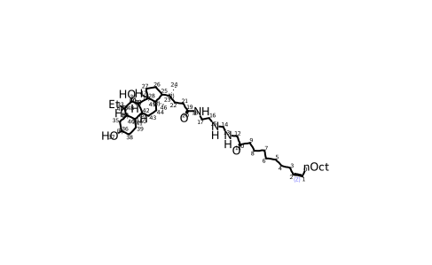 CCCCCCCC/C=C\CCCCCCCC(=O)CNCNCCNC(=O)CC[C@@H](C)C1CC[C@H]2[C@@H]3[C@H](O)[C@H](CC)[C@@H]4C[C@H](O)CC[C@]4(C)[C@H]3CC[C@]12C